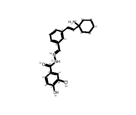 NC1(/C=C/c2cccc(/C=N/NC(=O)c3ccc(O)c(Cl)c3)c2)CCCCC1